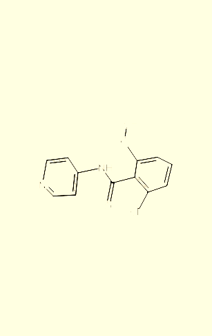 COc1cccc(Cl)c1C(=O)Nc1ccncc1